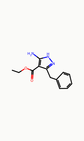 CCOC(=O)c1c(Cc2ccccc2)n[nH]c1N